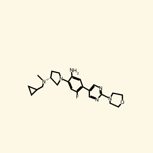 CN(CC1CC1)[C@@H]1CCN(c2cc(F)c(-c3cnc(N4CCOCC4)nc3)cc2N)C1